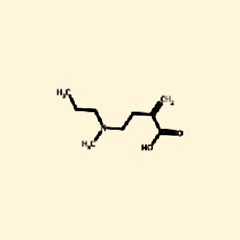 C=C(CCN(C)CCC)C(=O)O